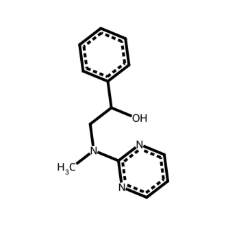 CN(CC(O)c1ccccc1)c1ncccn1